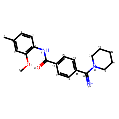 COc1cc(C)ccc1NC(=O)c1ccc(C(=N)N2CCCCC2)cc1